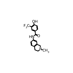 CN1CCc2ccc(NC(=O)c3ccc(O)c(C(F)(F)F)c3)cc2C1